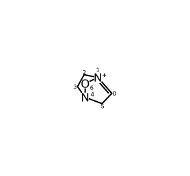 C1=[N+]2CCN(C1)O2